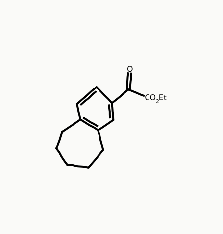 CCOC(=O)C(=O)c1ccc2c(c1)CCCCC2